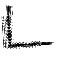 CC(=O)[O-].CC(=O)[O-].CC(=O)[O-].CC(=O)[O-].CC(=O)[O-].CC(=O)[O-].CC(=O)[O-].CC(=O)[O-].CC(=O)[O-].CC(=O)[O-].CC(=O)[O-].CC(=O)[O-].CC(=O)[O-].CC(=O)[O-].CC(=O)[O-].CC(=O)[O-].CC(=O)[O-].CC(=O)[O-].CC(=O)[O-].CC(=O)[O-].[Na+].[Na+].[Na+].[Na+].[Na+].[Na+].[Na+].[Na+].[Na+].[Na+].[Na+].[Na+].[Na+].[Na+].[Na+].[Na+].[Na+].[Na+].[Na+].[Na+]